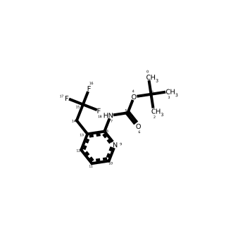 CC(C)(C)OC(=O)Nc1ncccc1CC(F)(F)F